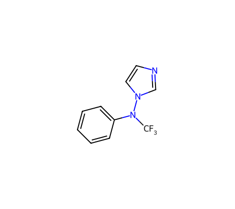 FC(F)(F)N(c1ccccc1)n1ccnc1